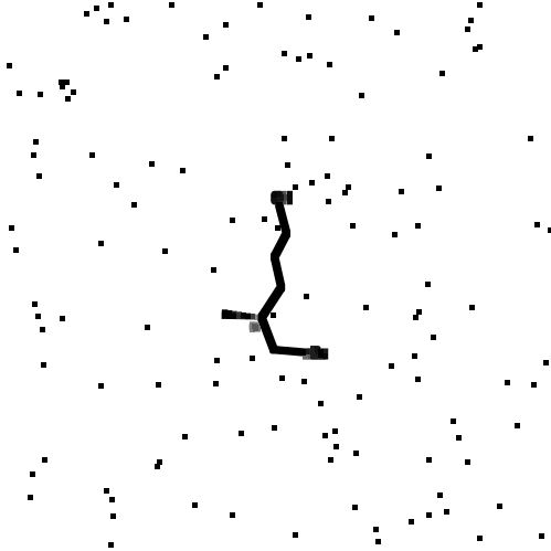 CCCCC[C@H](C)CCCO